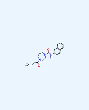 O=C(CCC1CC1)N1CCCN(C(=O)Nc2ccc3ccccc3c2)CC1